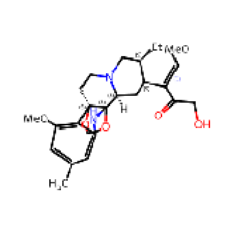 CC[C@@H]1CN2CC[C@@]34OCCO[C@@]3(Nc3cc(C)cc(OC)c34)[C@@H]2C[C@@H]1/C(=C\OC)C(=O)CO